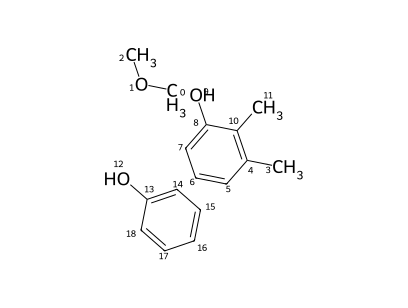 COC.Cc1cccc(O)c1C.Oc1ccccc1